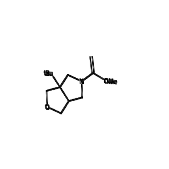 C=C(OC)N1CC2COCC2(C(C)(C)C)C1